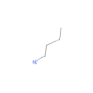 CCCC[N]